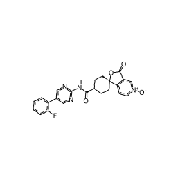 O=C1O[C@]2(CC[C@H](C(=O)Nc3ncc(-c4ccccc4F)cn3)CC2)c2cc[n+]([O-])cc21